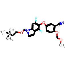 COCOc1ccc(Oc2c(F)cc3c(ccn3COCC[Si](C)(C)C)c2F)cc1C#N